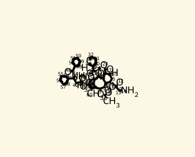 CC(=O)O[C@H]1C(=O)[C@]2(C)C(OC(=O)CN)C[C@H]3OC[C@@]3(OC(C)=O)C2[C@H](OC(=O)c2ccccc2)[C@]2(O)C[C@H](OC(=O)CC(NC(=O)c3ccccc3)c3ccccc3)C(C)=C1C2(C)C